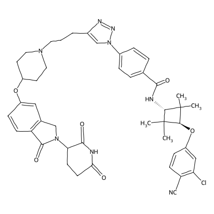 CC1(C)[C@H](NC(=O)c2ccc(-n3cc(CCCN4CCC(Oc5ccc6c(c5)CN(C5CCC(=O)NC5=O)C6=O)CC4)nn3)cc2)C(C)(C)[C@H]1Oc1ccc(C#N)c(Cl)c1